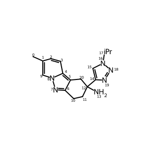 Cc1ccc2c3c(nn2c1)CCC(N)(c1cn(C(C)C)nn1)C3